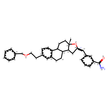 C[C@]12CCC3c4ccc(CCOCc5ccccc5)cc4CCC3C1C/C(=C\c1cccc(C(N)=O)c1)O2